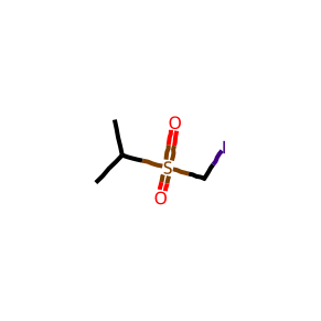 CC(C)S(=O)(=O)CI